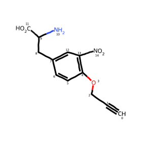 C#CCOc1ccc(CC(N)C(=O)O)cc1[N+](=O)[O-]